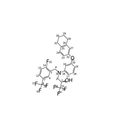 O[C@H](CN(Cc1cc(C(F)(F)F)ccc1F)c1cccc(Oc2ccc3c(c2)CCCC3)c1)C(F)(F)F